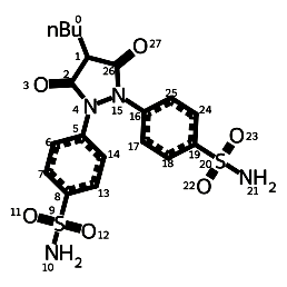 CCCCC1C(=O)N(c2ccc(S(N)(=O)=O)cc2)N(c2ccc(S(N)(=O)=O)cc2)C1=O